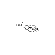 C[C@@]12C=CC[C@H]1[C@@H]1C=Cc3cc(CC(=O)O)ccc3[C@H]1CC2